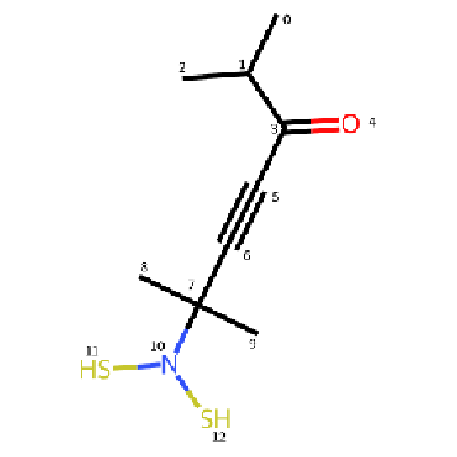 CC(C)C(=O)C#CC(C)(C)N(S)S